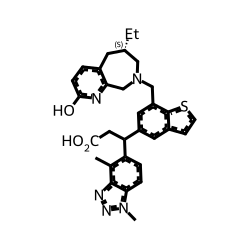 CC[C@H]1Cc2ccc(O)nc2CN(Cc2cc(C(CC(=O)O)c3ccc4c(nnn4C)c3C)cc3ccsc23)C1